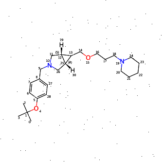 CC(C)(C)Oc1ccc(CN2C[C@@H]3C(COCCCN4CCCCC4)[C@@H]3C2)cc1